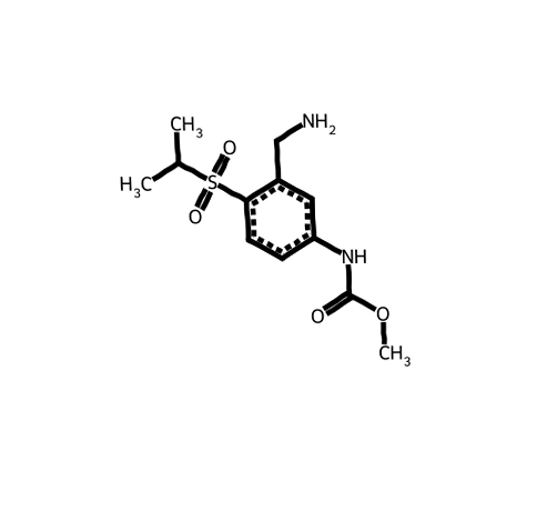 COC(=O)Nc1ccc(S(=O)(=O)C(C)C)c(CN)c1